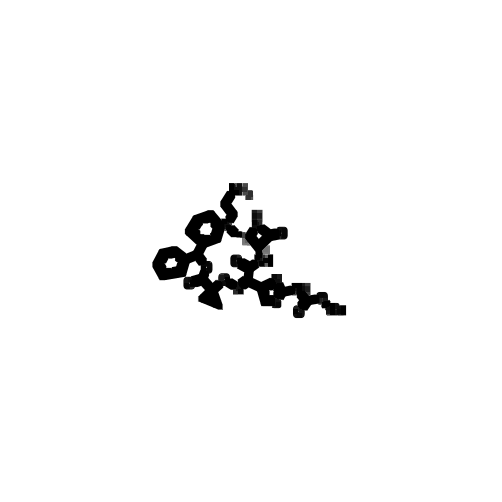 CC(C)(C)OC(=O)Nc1nc(C(=NOC2(C(=O)OC(c3ccccc3)c3ccccc3)CC2)C(=O)N[C@@H]2C(=O)N[C@H]2CNCCN)cs1